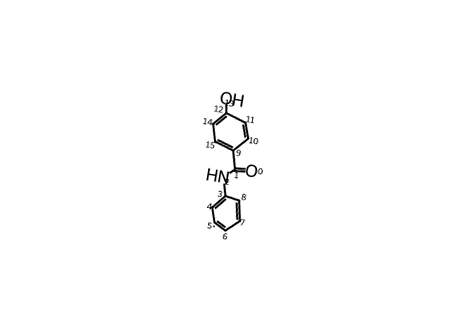 O=C(Nc1c[c]ccc1)c1ccc(O)cc1